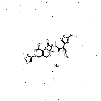 CO/N=C(\C(=O)N[C@H]1C(=O)N2C(C(=O)[O-])=C(CSc3cnns3)CS[C@@H]12)c1csc(N)n1.[Na+]